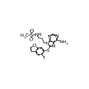 CS(=O)(=O)NCCCn1c(Sc2cc3c(cc2I)CCO3)nc2c(N)ncnc21